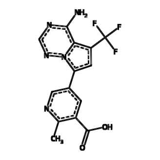 Cc1ncc(-c2cc(C(F)(F)F)c3c(N)ncnn23)cc1C(=O)O